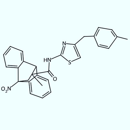 Cc1ccc(Cc2csc(NC(=O)C3(C)CC4([N+](=O)[O-])c5ccccc5C3c3ccccc34)n2)cc1